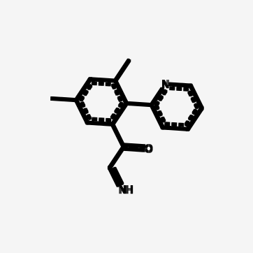 Cc1cc(C)c(-c2ccccn2)c(C(=O)C=N)c1